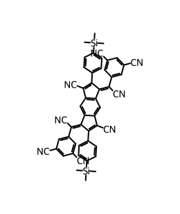 C[Si](C)(C)c1ccc(C2=C(C#N)c3cc4c(cc3/C2=C(\C#N)c2cc(C#N)cc(C#N)c2)C(C#N)=C(c2ccc([Si](C)(C)C)cc2)/C4=C(/C#N)c2cc(C#N)cc(C#N)c2)cc1